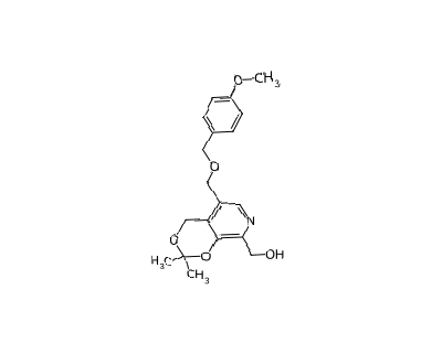 COc1ccc(COCc2cnc(CO)c3c2COC(C)(C)O3)cc1